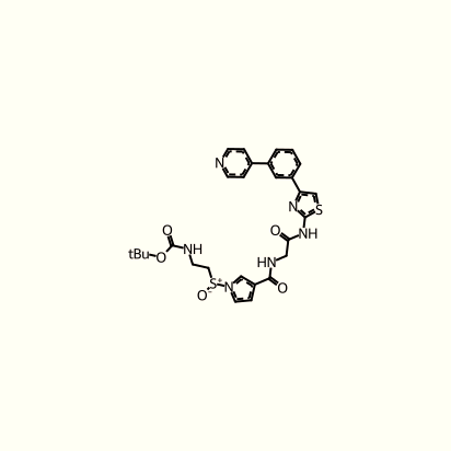 CC(C)(C)OC(=O)NCC[S+]([O-])n1ccc(C(=O)NCC(=O)Nc2nc(-c3cccc(-c4ccncc4)c3)cs2)c1